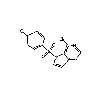 CC1C=CC(S(=O)(=O)n2ccc3ncnc(Cl)c32)=CC1